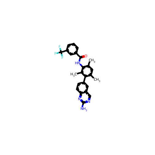 Cc1cc(C)c(-c2ccc3nc(N)ncc3c2)c(C)c1NC(=O)c1cccc(C(F)(F)F)c1